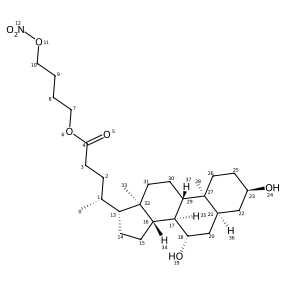 C[C@H](CCC(=O)OCCCCO[N+](=O)[O-])[C@H]1CC[C@H]2[C@@H]3[C@@H](O)C[C@@H]4C[C@H](O)CC[C@]4(C)[C@H]3CC[C@]12C